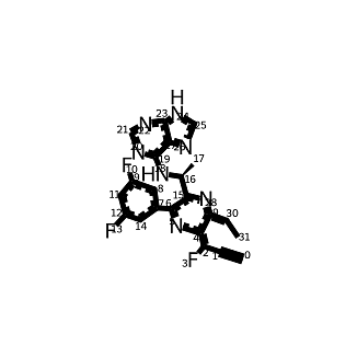 C#C/C(F)=c1/nc(-c2cc(F)cc(F)c2)c([C@H](C)Nc2ncnc3[nH]cnc23)n/c1=C/C